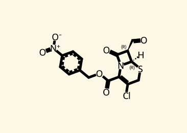 O=C[C@@H]1C(=O)N2C(C(=O)OCc3ccc([N+](=O)[O-])cc3)=C(Cl)CS[C@H]12